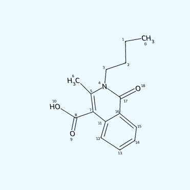 CCCCn1c(C)c(C(=O)O)c2ccccc2c1=O